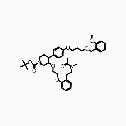 COc1ccccc1COCCCOc1ccc(C2CCN(C(=O)OC(C)(C)C)CC2OCCOc2ccccc2CCN(C)C(C)=O)cc1